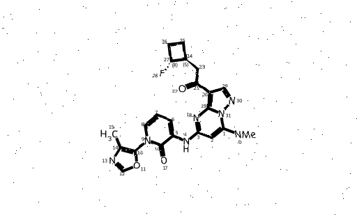 CNc1cc(Nc2cccn(-c3ocnc3C)c2=O)nc2c(C(=O)C[C@@H]3CC[C@H]3F)cnn12